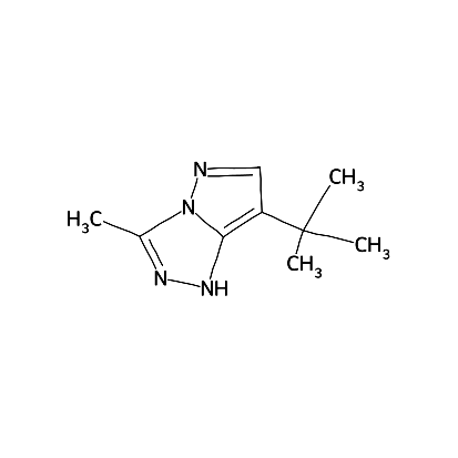 Cc1n[nH]c2c(C(C)(C)C)cnn12